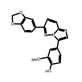 COc1cc(-c2cnc3ccc(-c4ccc5c(c4)OCO5)nn23)ccc1O